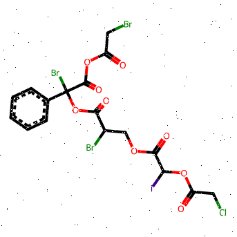 O=C(CBr)OC(=O)C(Br)(OC(=O)C(Br)COC(=O)C(I)OC(=O)CCl)c1ccccc1